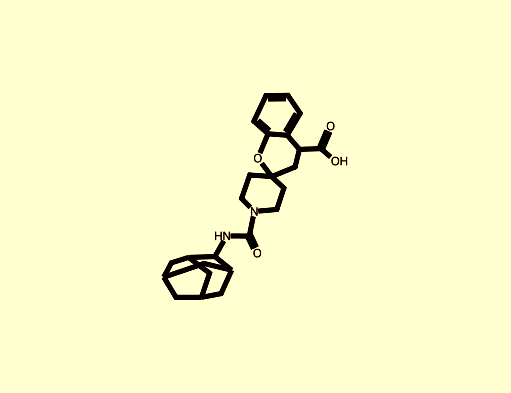 O=C(O)C1CC2(CCN(C(=O)NC3C4CC5CC(C4)CC3C5)CC2)Oc2ccccc21